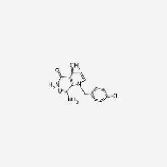 C=C1C=CN(Cc2ccc(Cl)cc2)C(C(N)=O)=C1C(N)=O